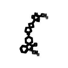 Cc1noc(C2CC3(CCN(C4CCC5(CC4)C(=O)N(C)c4ccccc45)C3)C2)n1